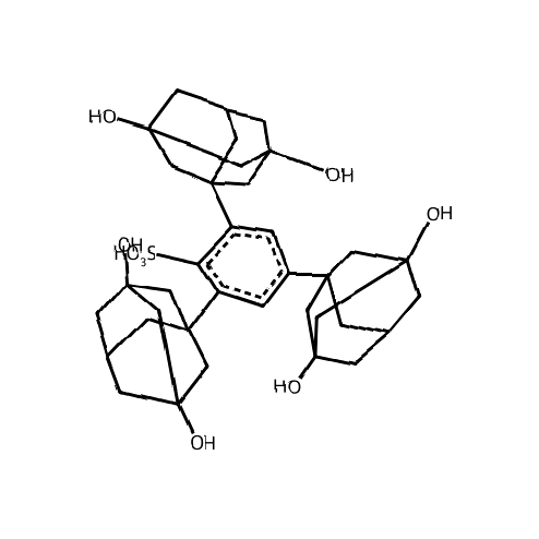 O=S(=O)(O)c1c(C23CC4CC(O)(CC(O)(C4)C2)C3)cc(C23CC4CC(O)(CC(O)(C4)C2)C3)cc1C12CC3CC(O)(CC(O)(C3)C1)C2